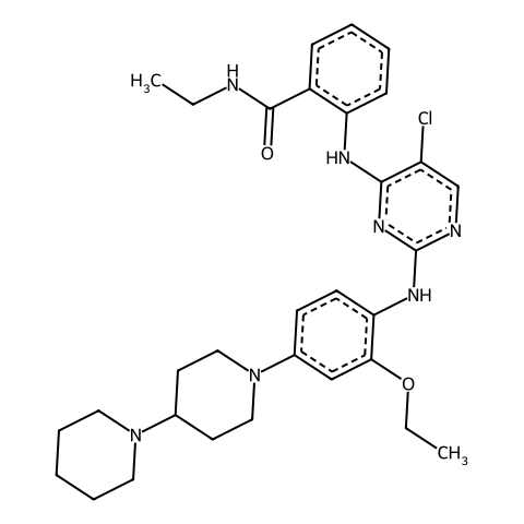 CCNC(=O)c1ccccc1Nc1nc(Nc2ccc(N3CCC(N4CCCCC4)CC3)cc2OCC)ncc1Cl